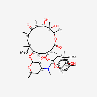 CCC1OC(=O)[C@H](C)[C@H](OC2C[C@@](C)(OC)[C@@H](O)[C@H](C)O2)[C@H](C)[C@@H](OC2O[C@H](C)C[C@H](N(C)Cc3ccc(C)cc3)[C@H]2O)[C@@](C)(OC)C[C@@H](C)C(=O)[C@H](C)[C@@H](O)[C@]1(C)O